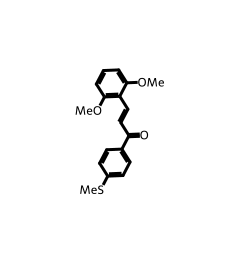 COc1cccc(OC)c1C=CC(=O)c1ccc(SC)cc1